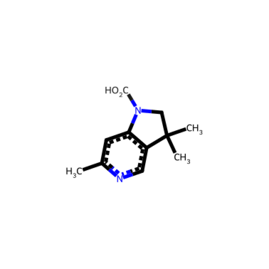 Cc1cc2c(cn1)C(C)(C)CN2C(=O)O